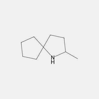 CC1CCC2(CCCC2)N1